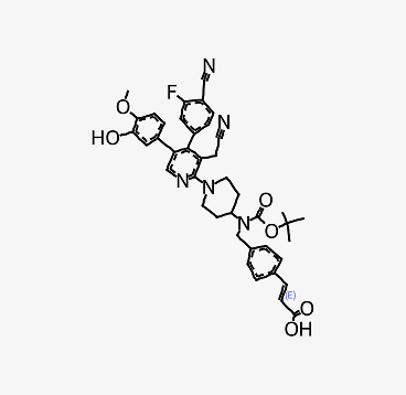 COc1ccc(-c2cnc(N3CCC(N(Cc4ccc(/C=C/C(=O)O)cc4)C(=O)OC(C)(C)C)CC3)c(CC#N)c2-c2ccc(C#N)c(F)c2)cc1O